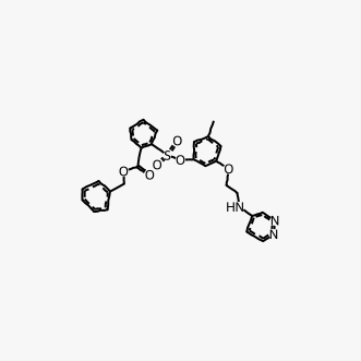 Cc1cc(OCCNc2ccnnc2)cc(OS(=O)(=O)c2ccccc2C(=O)OCc2ccccc2)c1